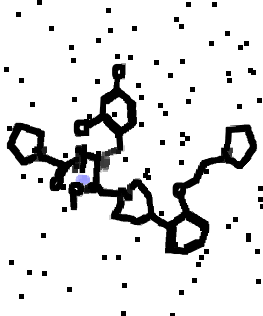 C/[O+]=C(/[C@@H](Cc1ccc(Cl)cc1Cl)NC(=O)N1CCCC1)N1CCC(c2ccccc2OCCN2CCCC2)CC1